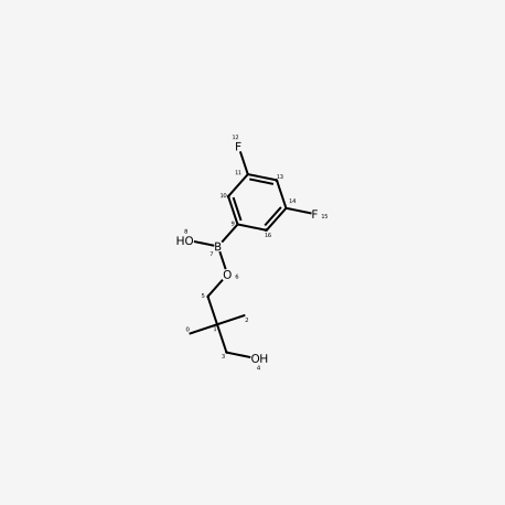 CC(C)(CO)COB(O)c1cc(F)cc(F)c1